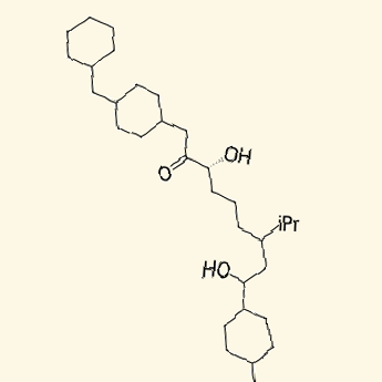 CC1CCC(C(O)CC(CCC[C@@H](O)C(=O)CC2CCC(CC3CCCCC3)CC2)C(C)C)CC1